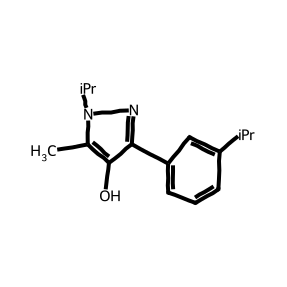 Cc1c(O)c(-c2cccc(C(C)C)c2)nn1C(C)C